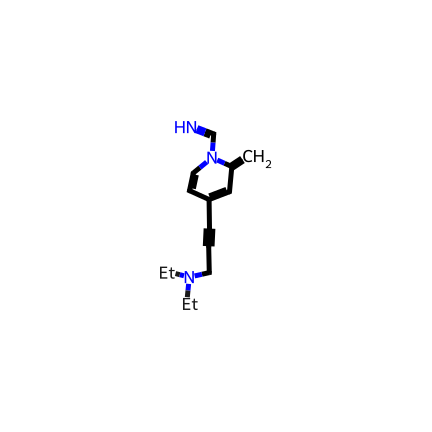 C=C1C=C(C#CCN(CC)CC)C=CN1C=N